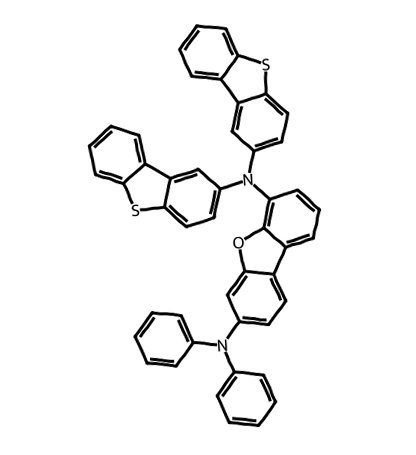 c1ccc(N(c2ccccc2)c2ccc3c(c2)oc2c(N(c4ccc5sc6ccccc6c5c4)c4ccc5sc6ccccc6c5c4)cccc23)cc1